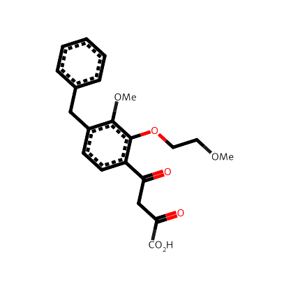 COCCOc1c(C(=O)CC(=O)C(=O)O)ccc(Cc2ccccc2)c1OC